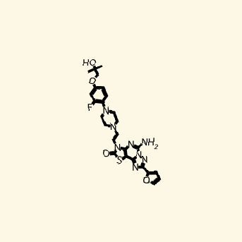 CC(C)(O)COc1ccc(N2CCN(CCn3c(=O)sc4c3nc(N)n3nc(-c5ccco5)nc43)CC2)c(F)c1